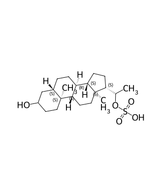 CC(OS(=O)(=O)O)[C@H]1CC[C@H]2[C@@H]3CC[C@H]4CC(O)CC[C@]4(C)[C@H]3CC[C@]12C